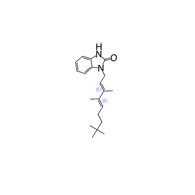 CC(=C\CCC(C)(C)C)/C(C)=C/Cn1c(=O)[nH]c2ccccc21